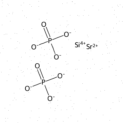 O=P([O-])([O-])[O-].O=P([O-])([O-])[O-].[Si+4].[Sr+2]